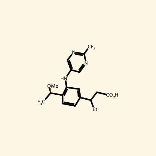 CCC(CC(=O)O)c1ccc([C@H](OC)C(F)(F)F)c(Nc2cnc(C(F)(F)F)nc2)c1